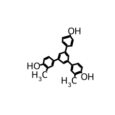 Cc1cc(-c2cc(-c3ccc(O)cc3)cc(-c3ccc(O)c(C)c3)c2)ccc1O